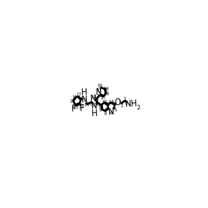 NCCOc1cnc2ccc(-c3[nH]c(CNc4cccc(F)c4F)nc3-c3ccccn3)cc2c1